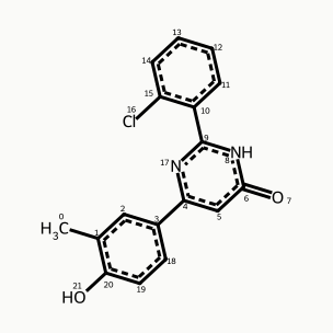 Cc1cc(-c2cc(=O)[nH]c(-c3ccccc3Cl)n2)ccc1O